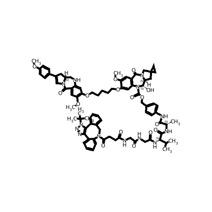 COc1ccc(C2=CN3C(=O)c4cc(OC)c(OCCCCCOc5cc6c(cc5OC)C(=O)N5CC7(CC7)C[C@H]5[C@H](O)N6C(=O)OCc5ccc(NC(=O)[C@H](C)NC(=O)[C@@H](NC(=O)CNC(=O)CNC(=O)CCC(=O)N6Cc7ccccc7-c7c(nnn7C(C)(C)C)-c7ccccc76)C(C)C)cc5)cc4NC[C@@H]3C2)cc1